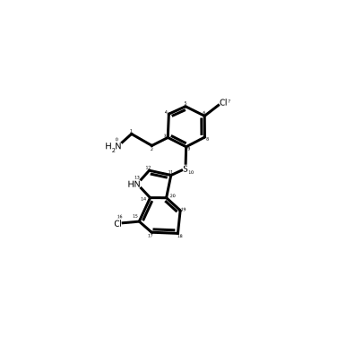 NCCc1ccc(Cl)cc1Sc1c[nH]c2c(Cl)cccc12